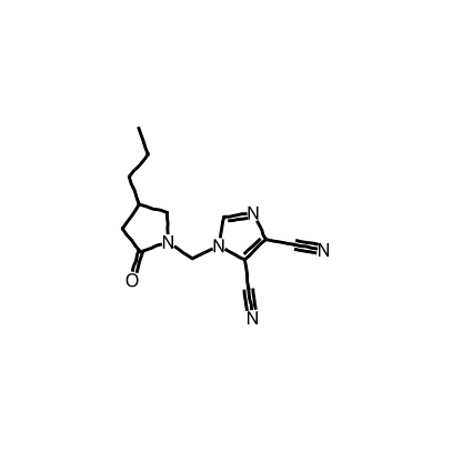 CCCC1CC(=O)N(Cn2cnc(C#N)c2C#N)C1